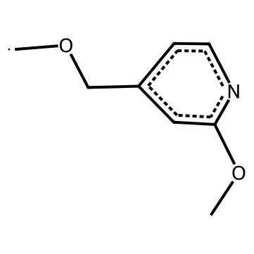 [CH2]OCc1ccnc(OC)c1